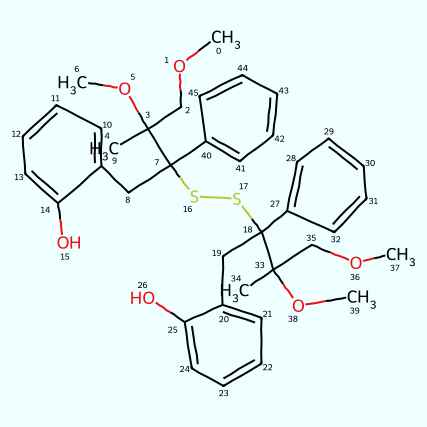 COCC(C)(OC)C(Cc1ccccc1O)(SSC(Cc1ccccc1O)(c1ccccc1)C(C)(COC)OC)c1ccccc1